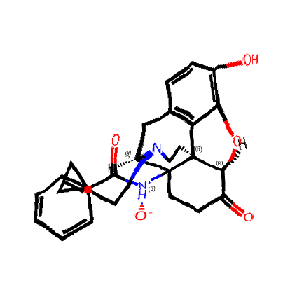 O=C1CCC2([N@H+]([O-])C(=O)c3ccccc3)[C@H]3Cc4ccc(O)c5c4[C@@]2(CCN3CC2CC2)[C@H]1O5